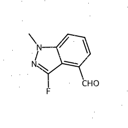 Cn1nc(F)c2c(C=O)cccc21